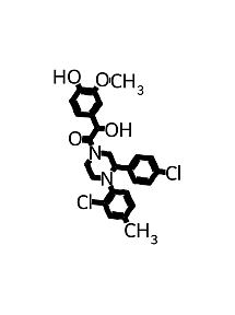 COc1cc(C(O)C(=O)N2CCN(c3ccc(C)cc3Cl)C(c3ccc(Cl)cc3)C2)ccc1O